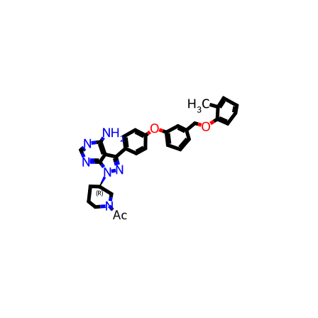 CC(=O)N1CCC[C@@H](n2nc(-c3ccc(Oc4cccc(COc5ccccc5C)c4)cc3)c3c(N)ncnc32)C1